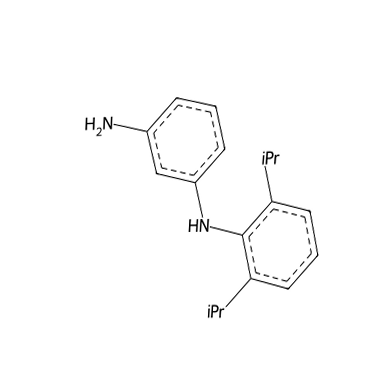 CC(C)c1cccc(C(C)C)c1Nc1cccc(N)c1